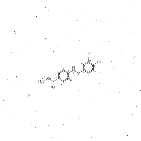 COC(=O)c1ccc(NCc2ccc(Cl)c(Cl)c2)nc1